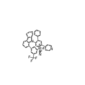 N#Cc1cc(-n2c3ccccc3c3cccc(-c4cc(C(F)(F)F)cc(C(F)(F)F)c4)c32)c(-c2ccccc2)cc1-c1ccncc1